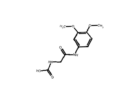 COc1ccc(NC(=O)CNC(=O)O)cc1OC